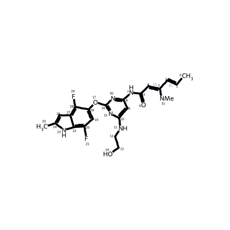 C/C=C/C(=C/C(=O)Nc1cc(NCCO)nc(Oc2cc(F)c3[nH]c(C)cc3c2F)n1)NC